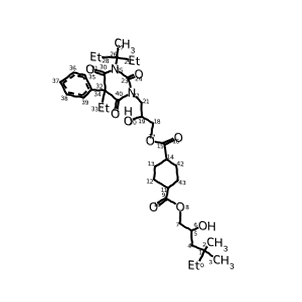 CCC(C)(C)CC(O)COC(=O)C1CCC(C(=O)OCC(O)CN2C(=O)N(C(C)(CC)CC)C(=O)C(CC)(c3ccccc3)C2=O)CC1